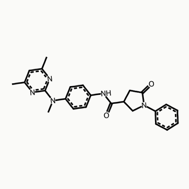 Cc1cc(C)nc(N(C)c2ccc(NC(=O)C3CC(=O)N(c4ccccc4)C3)cc2)n1